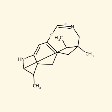 CC1C2CC3=C4C=C2NC1C(C)C(C)(C/N=C\C4)C3